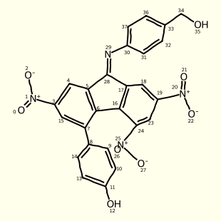 O=[N+]([O-])c1cc2c(c(-c3ccc(O)cc3)c1)-c1c(cc([N+](=O)[O-])cc1[N+](=O)[O-])C2=Nc1ccc(CO)cc1